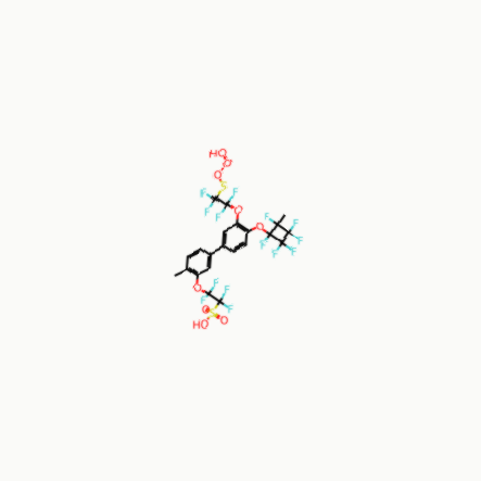 Cc1ccc(-c2ccc(OC3(F)C(C)(F)C(F)(F)C3(F)F)c(OC(F)(F)C(F)(F)SOOO)c2)cc1OC(F)(F)C(F)(F)S(=O)(=O)O